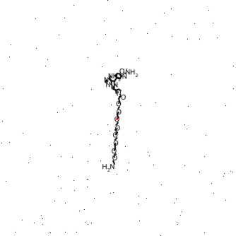 NCCOCCOCCOCCOCCOCCOCCOCCOCCC(=O)N1CCC(Cn2nc(-c3ccc4oc(N)nc4c3)c3c(N)ncnc32)C1